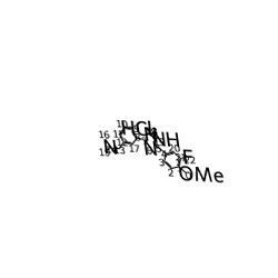 COc1ccc(-c2nc(-c3cccc(CN(C)C)c3)n[nH]2)cc1F.Cl